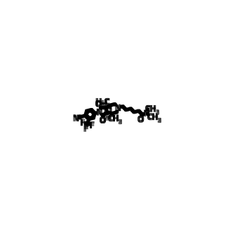 CN(C)C(=O)CCCCCN1C[C@@]2(C)O[C@@](C)(C1)[C@H]1C(=O)N(c3ccc(C#N)c(C(F)(F)F)c3)C(=O)[C@H]12